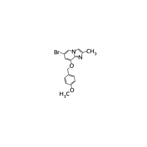 COc1ccc(COc2cc(Br)cn3cc(C)nc23)cc1